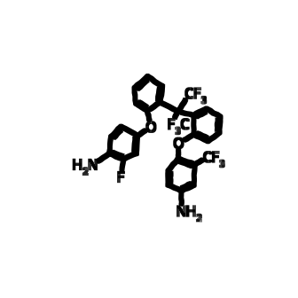 Nc1ccc(Oc2ccccc2C(c2ccccc2Oc2ccc(N)c(F)c2)(C(F)(F)F)C(F)(F)F)c(C(F)(F)F)c1